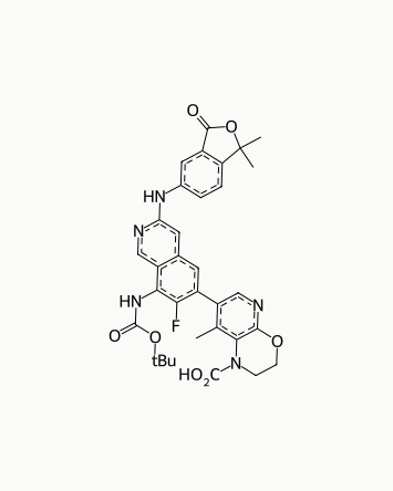 Cc1c(-c2cc3cc(Nc4ccc5c(c4)C(=O)OC5(C)C)ncc3c(NC(=O)OC(C)(C)C)c2F)cnc2c1N(C(=O)O)CCO2